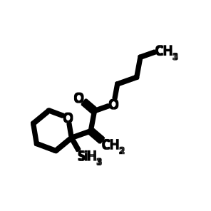 C=C(C(=O)OCCCC)C1([SiH3])CCCCO1